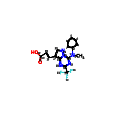 CN(c1ccccc1)c1nc(C(F)(F)F)nc2c(/C=C/C(=O)O)cnn12